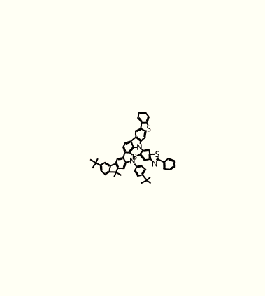 CC(C)(C)c1ccc(N2B3c4cc5nc(-c6ccccc6)sc5cc4-n4c5cc6sc7ccccc7c6cc5c5ccc(c3c54)-c3cc4c(cc32)C(C)(C)c2ccc(C(C)(C)C)cc2-4)cc1